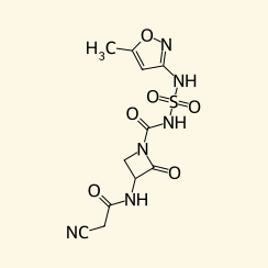 Cc1cc(NS(=O)(=O)NC(=O)N2CC(NC(=O)CC#N)C2=O)no1